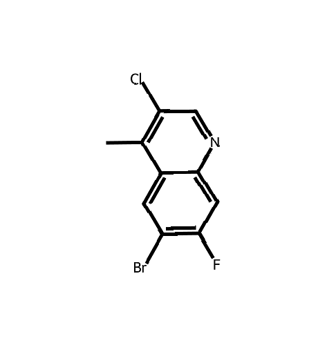 Cc1c(Cl)cnc2cc(F)c(Br)cc12